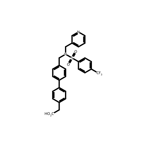 O=C(O)Cc1ccc(-c2ccc(CN(Cc3cccnc3)S(=O)(=O)c3ccc(C(F)(F)F)cc3)cc2)cc1